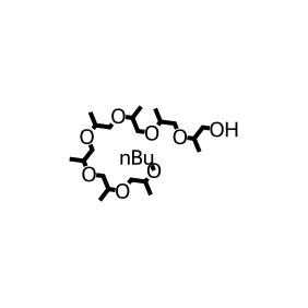 CCCCOC(C)COC(C)COC(C)COC(C)COC(C)COC(C)COC(C)CO